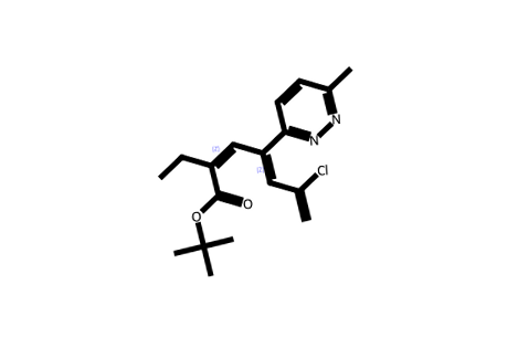 C=C(Cl)/C=C(/C=C(/CC)C(=O)OC(C)(C)C)c1ccc(C)nn1